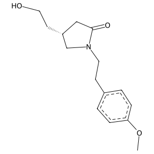 COc1ccc(CCN2C[C@H](CCO)CC2=O)cc1